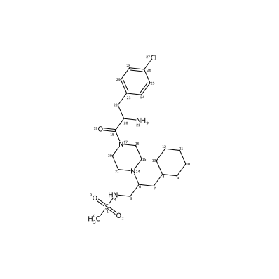 CS(=O)(=O)NCC(CC1CCCCC1)N1CCN(C(=O)C(N)Cc2ccc(Cl)cc2)CC1